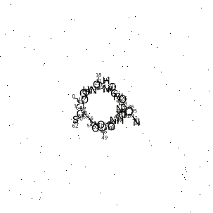 C/C=C(\C)[C@H]1OC(=O)C(C)(C)NC(=O)[C@H](C(C)CC)NC(=O)CN(C)C(=O)[C@@H](Cc2ccc(C#N)cc2)N(C)C(=O)[C@H](C)NC(=O)[C@@H](CC(C)C)OC(=O)/C(C)=C/C[C@H](OCSC)[C@@H]1C